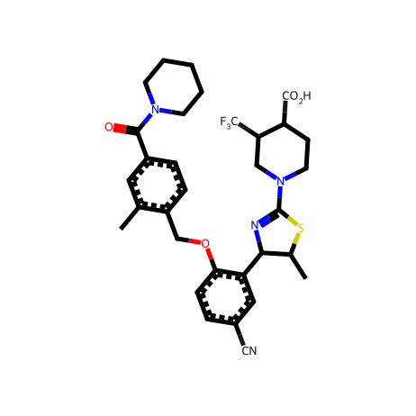 Cc1cc(C(=O)N2CCCCC2)ccc1COc1ccc(C#N)cc1C1N=C(N2CCC(C(=O)O)C(C(F)(F)F)C2)SC1C